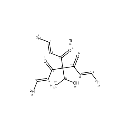 [2H]/C=C/C(=O)C(C(=O)/C=C/[2H])(C(=O)/C=C/[2H])C(C)O.[Ti]